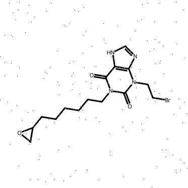 O=c1c2[nH]cnc2n(CCBr)c(=O)n1CCCCCCC1CO1